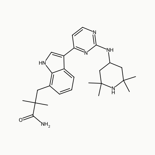 CC1(C)CC(Nc2nccc(-c3c[nH]c4c(CC(C)(C)C(N)=O)cccc34)n2)CC(C)(C)N1